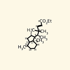 CCOC(=O)/C=C/C(C)(C)[C@@H](C)C1CCC2[C@@H](C)CCC[C@@]21C